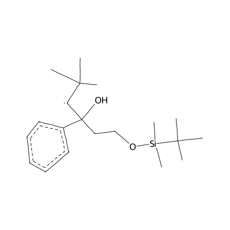 CC(C)(C)[CH]C(O)(CCO[Si](C)(C)C(C)(C)C)c1ccccc1